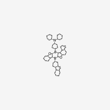 c1ccc(N(c2ccccc2)c2ccc(B3c4oc5ccccc5c4B(c4ccc5c(c4)sc4ccccc45)c4oc5ccc6sccc6c5c43)cc2)cc1